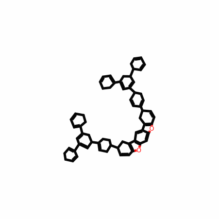 C1=CCCC(C2=CC(C3=CCCC=C3)=CC(C3=CCC(C4C=Cc5oc6cc7oc8c(c7cc6c5C4)CC(C4=CCC(C5=CC(C6C=CC=CC6)CC(C6=CC=CCC6)=C5)C=C4)C=C8)CC3)C2)=C1